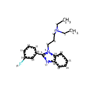 CCN(CC)CCCn1c(-c2cccc(F)c2)nc2ccccc21